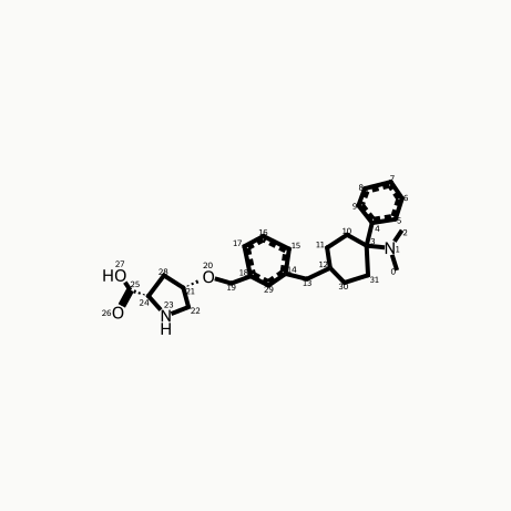 CN(C)C1(c2ccccc2)CCC(Cc2cccc(CO[C@@H]3CN[C@H](C(=O)O)C3)c2)CC1